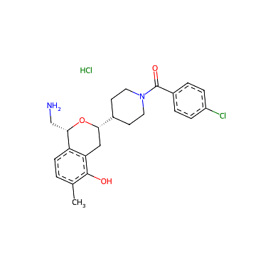 Cc1ccc2c(c1O)C[C@@H](C1CCN(C(=O)c3ccc(Cl)cc3)CC1)O[C@H]2CN.Cl